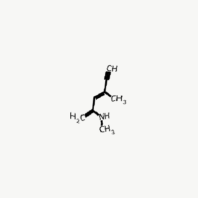 C#C/C(C)=C/C(=C)NC